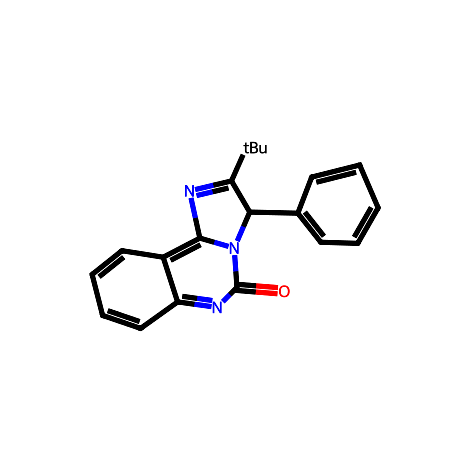 CC(C)(C)C1=Nc2c3ccccc3nc(=O)n2C1c1ccccc1